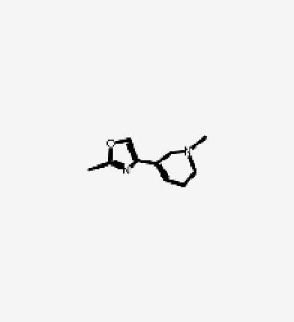 Cc1nc(C2=CCCN(C)C2)co1